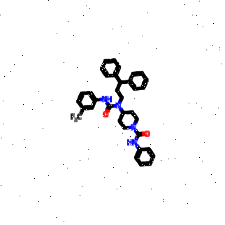 O=C(Nc1ccccc1)N1CCC(N(CCC(c2ccccc2)c2ccccc2)C(=O)Nc2cccc(C(F)(F)F)c2)CC1